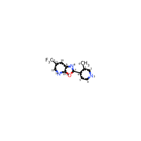 Cc1cnccc1-c1nc2cc(C(F)(F)F)cnc2o1